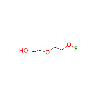 OCCOCCOF